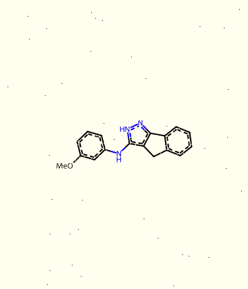 COc1cccc(Nc2[nH]nc3c2Cc2ccccc2-3)c1